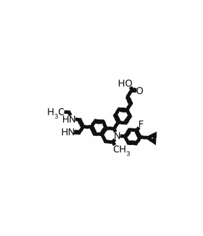 CCN/C=C(\C=N)c1ccc2c(c1)CC(C)N(c1ccc(C3CC3)c(F)c1)C2c1ccc(/C=C/C(=O)O)cc1